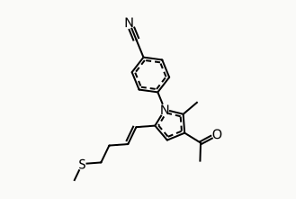 CSCCC=Cc1cc(C(C)=O)c(C)n1-c1ccc(C#N)cc1